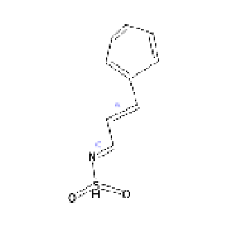 O=[SH](=O)/N=C/C=C/c1ccccc1